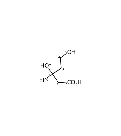 CCC(O)(CCO)CC(=O)O